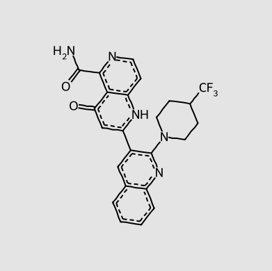 NC(=O)c1nccc2[nH]c(-c3cc4ccccc4nc3N3CCC(C(F)(F)F)CC3)cc(=O)c12